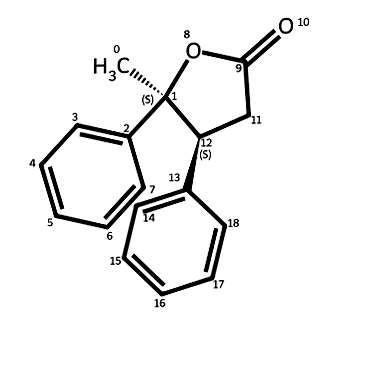 C[C@]1(c2ccccc2)OC(=O)C[C@H]1c1ccccc1